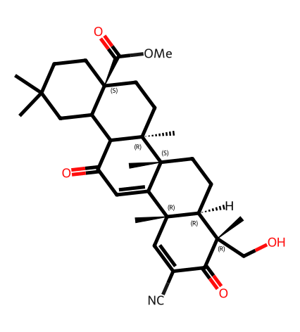 COC(=O)[C@]12CCC(C)(C)CC1C1C(=O)C=C3[C@@]4(C)C=C(C#N)C(=O)[C@@](C)(CO)[C@@H]4CC[C@@]3(C)[C@]1(C)CC2